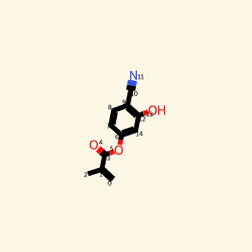 C=C(C)C(=O)Oc1ccc(C#N)c(O)c1